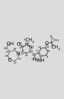 Cn1nc(-c2n[nH]c3ccc(OC4(C)CC4)cc23)cc(N2CCOCC(CO)C2)c1=O